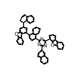 C1=Cc2ccccc2C(c2cc(-c3ccc(-c4nc(-c5ccc6ccccc6c5)nc(-c5cccc6c5oc5ccccc56)n4)c4ccccc34)c3c(c2)oc2ccccc23)C1